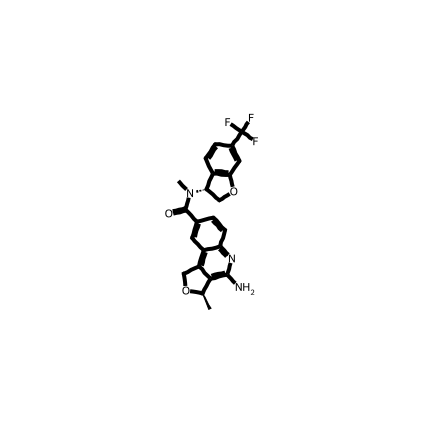 C[C@H]1OCc2c1c(N)nc1ccc(C(=O)N(C)[C@H]3COc4cc(C(F)(F)F)ccc43)cc21